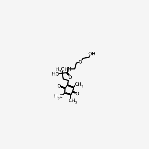 CC1=C(C)C(=O)C(CCC(C)(O)C(=O)NCCOCCO)=C(C)C1=O